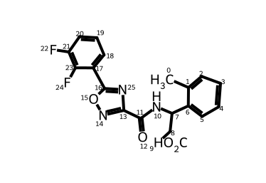 Cc1ccccc1C(CC(=O)O)NC(=O)c1noc(-c2cccc(F)c2F)n1